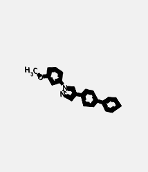 COc1cccc(-n2cc(-c3ccc(-c4ccccc4)cc3)cn2)c1